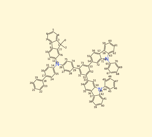 CC1(C)c2ccccc2-c2ccc(N(c3ccc(-c4ccccc4)cc3)c3ccc(-c4cc(-c5ccc6c7ccccc7n(-c7ccccc7)c6c5)cc(-c5ccc6c7ccccc7n(-c7ccccc7)c6c5)c4)cc3)cc21